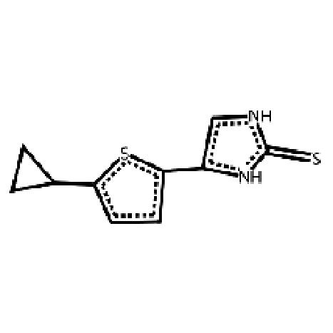 S=c1[nH]cc(-c2ccc(C3CC3)s2)[nH]1